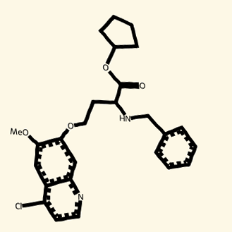 COc1cc2c(Cl)ccnc2cc1OCCC(NCc1ccccc1)C(=O)OC1CCCC1